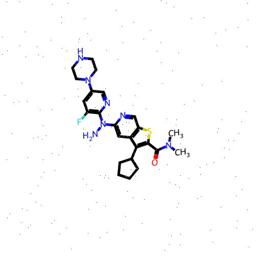 CN(C)C(=O)c1sc2cnc(N(N)c3ncc(N4CCNCC4)cc3F)cc2c1C1CCCC1